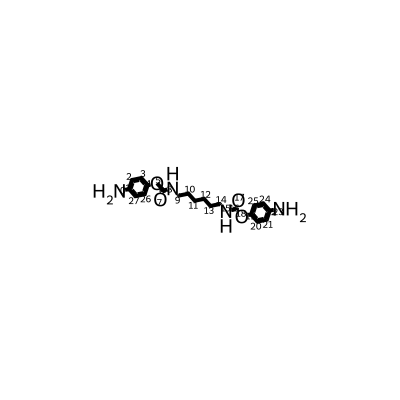 Nc1ccc(OC(=O)NCCCCCCNC(=O)Oc2ccc(N)cc2)cc1